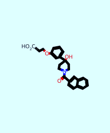 O=C(O)CCOc1cccc(C2(O)CCN(C(=O)c3ccc4ccccc4c3)CC2)c1